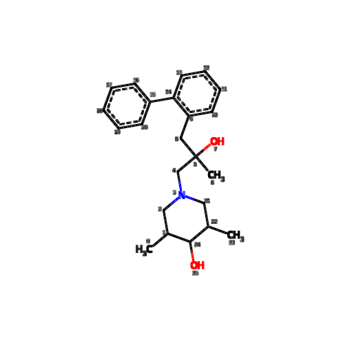 CC1CN(CC(C)(O)Cc2ccccc2-c2ccccc2)CC(C)C1O